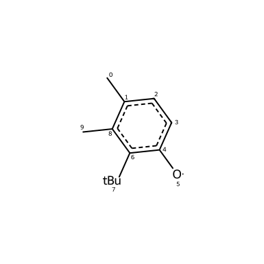 Cc1ccc([O])c(C(C)(C)C)c1C